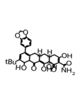 CC(C)(C)C1=CC(c2ccc3c(c2)OCO3)=C2C[C@H]3C[C@H]4CC(O)=C(C(N)=O)C(=O)[C@@]4(O)C(O)=C3C(=O)C2C1O